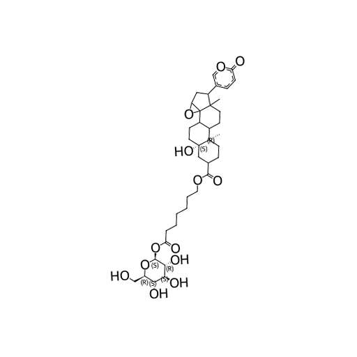 CC12CCC3C(CC[C@]4(O)CC(C(=O)OCCCCCCC(=O)O[C@@H]5O[C@H](CO)[C@@H](O)[C@H](O)[C@H]5O)CC[C@]34C)C13OC3CC2c1ccc(=O)oc1